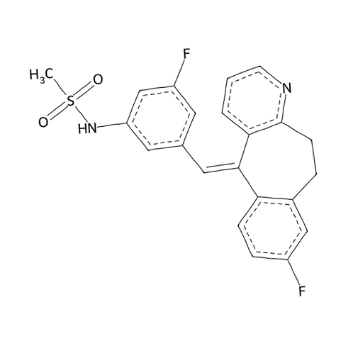 CS(=O)(=O)Nc1cc(F)cc(C=C2c3ccc(F)cc3CCc3ncccc32)c1